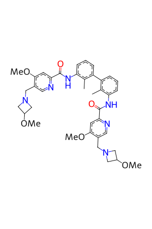 COc1cc(C(=O)Nc2cccc(-c3cccc(NC(=O)c4cc(OC)c(CN5CC(OC)C5)cn4)c3C)c2C)ncc1CN1CC(OC)C1